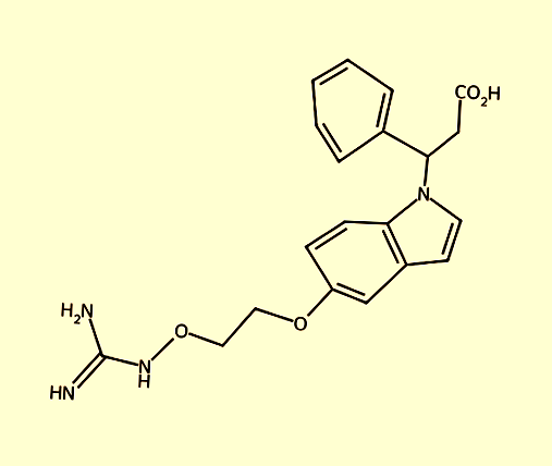 N=C(N)NOCCOc1ccc2c(ccn2C(CC(=O)O)c2ccccc2)c1